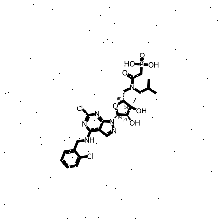 CC(C)CN(C[C@H]1O[C@@H](n2ncc3c(NCc4ccccc4Cl)nc(Cl)nc32)[C@H](O)[C@]1(C)O)C(=O)CP(=O)(O)O